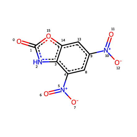 O=c1[nH]c2c([N+](=O)[O-])cc([N+](=O)[O-])cc2o1